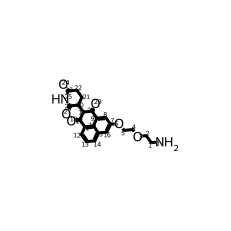 NCCOCCOc1cc2c3c(cccc3c1)C(=O)C(C1CCC(=O)NC1=O)C2=O